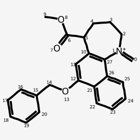 C=[N+]1CCCC(C(=O)OC)c2cc(OCc3ccccc3)c3ccccc3c21